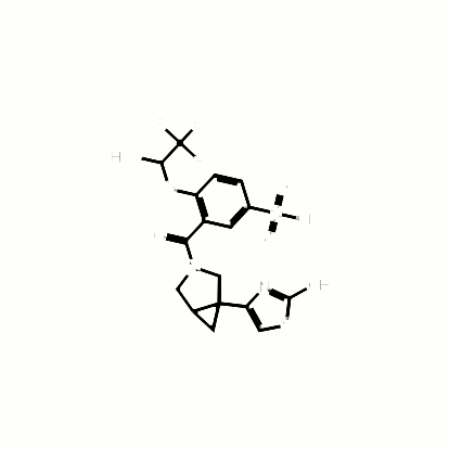 Cc1nc(C23CC2CN(C(=O)c2cc(S(C)(=O)=O)ccc2OC(C)C(C)(F)F)C3)cs1